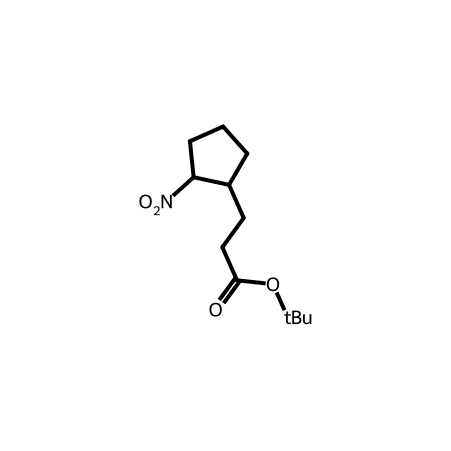 CC(C)(C)OC(=O)CCC1CCCC1[N+](=O)[O-]